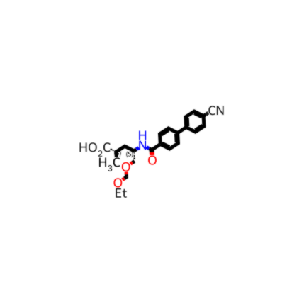 CCOCOC[C@H](C[C@H](C)C(=O)O)NC(=O)c1ccc(-c2ccc(C#N)cc2)cc1